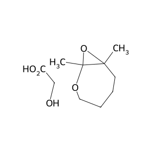 CC12CCCCOC1(C)O2.O=C(O)CO